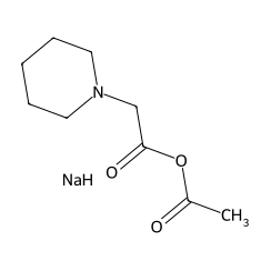 CC(=O)OC(=O)CN1CCCCC1.[NaH]